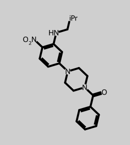 CC(C)CNc1cc(N2CCN(C(=O)c3ccccc3)CC2)ccc1[N+](=O)[O-]